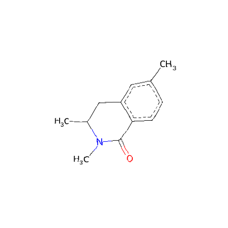 Cc1ccc2c(c1)CC(C)N(C)C2=O